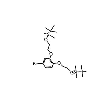 CC(C)(C)[Si](C)(C)OCCOc1ccc(Br)cc1OCCO[Si](C)(C)C(C)(C)C